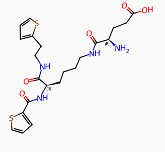 N[C@H](CCC(=O)O)C(=O)NCCCC[C@@H](NC(=O)c1cccs1)C(=O)NCCc1cccs1